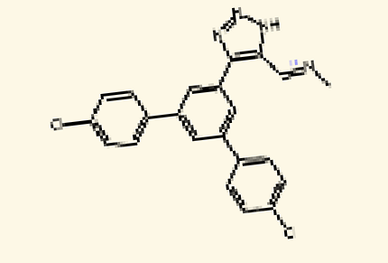 C/N=C/c1[nH]nnc1-c1cc(-c2ccc(Cl)cc2)cc(-c2ccc(Cl)cc2)c1